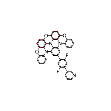 Fc1cc(-c2cc(N3c4ccccc4Oc4ccccc43)c(N3c4ccccc4Oc4ccccc43)c(N3c4ccccc4Oc4ccccc43)c2)c(F)cc1-c1cccnc1